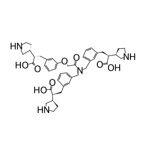 O=C(O)[C@@H](Cc1cccc(CN(Cc2cccc(C[C@H](C(=O)O)[C@H]3CCNC3)c2)C(=O)COc2cccc(C[C@H](C(=O)O)[C@H]3CCNC3)c2)c1)[C@H]1CCNC1